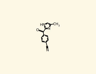 Cc1c[nH]c(C(=O)c2ccc(C#N)cc2)n1